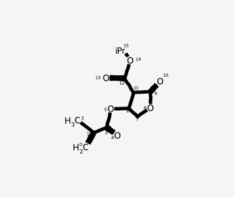 C=C(C)C(=O)OC1COC(=O)C1C(=O)OC(C)C